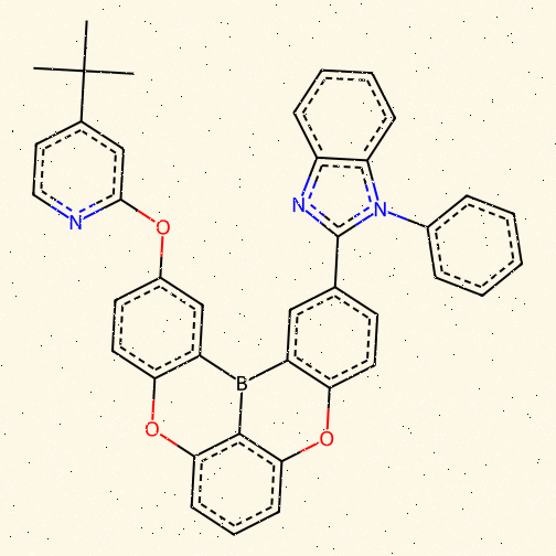 CC(C)(C)c1ccnc(Oc2ccc3c(c2)B2c4cc(-c5nc6ccccc6n5-c5ccccc5)ccc4Oc4cccc(c42)O3)c1